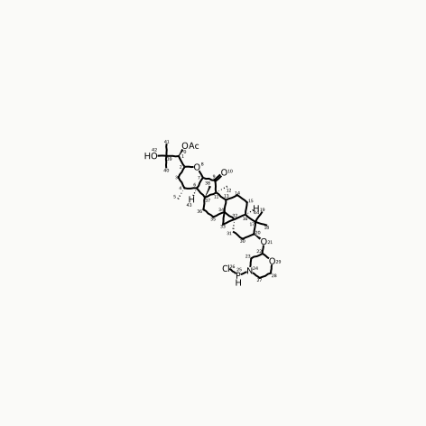 CC(=O)O[C@@H](C1C[C@@H](C)[C@H]2C(O1)C(=O)[C@@]1(C)C3CC[C@H]4C(C)(C)[C@@H](OC5CN(PCl)CCO5)CC[C@@]45CC35CC[C@]21C)C(C)(C)O